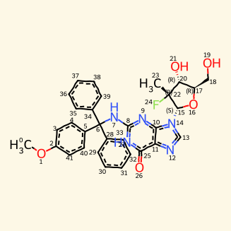 COc1ccc(C(Nc2nc3c(ncn3[C@H]3O[C@H](CO)[C@@H](O)[C@@]3(C)F)c(=O)[nH]2)(c2ccccc2)c2ccccc2)cc1